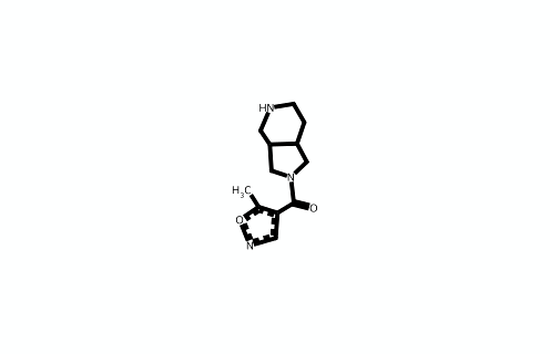 Cc1oncc1C(=O)N1CC2CCNCC2C1